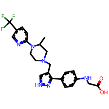 CC1CN(Cc2c[nH]nc2-c2ccc(NCC(=O)O)cc2)CCN1c1ccc(C(F)(F)F)cn1